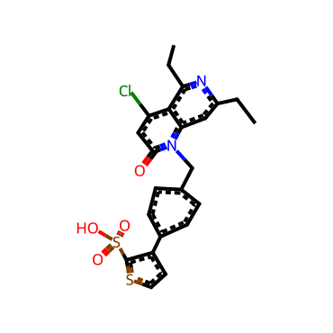 CCc1cc2c(c(Cl)cc(=O)n2Cc2ccc(-c3ccsc3S(=O)(=O)O)cc2)c(CC)n1